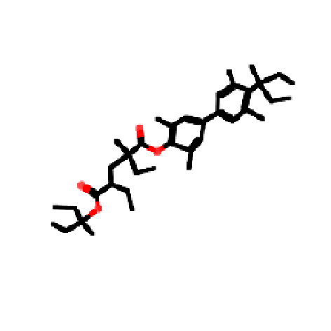 CCC(CC(C)(CC)C(=O)Oc1c(C)cc(-c2cc(C)c(C(C)(CC)CC)c(C)c2)cc1C)C(=O)OC(C)(CC)CC